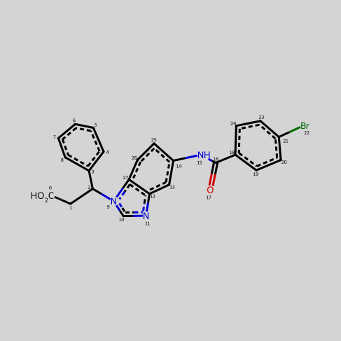 O=C(O)CC(c1ccccc1)n1cnc2cc(NC(=O)c3ccc(Br)cc3)ccc21